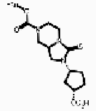 CC(C)(C)OC(=O)N1CCN2C(=S)N([C@@H]3CC[C@H](C(=O)O)C3)CC2C1